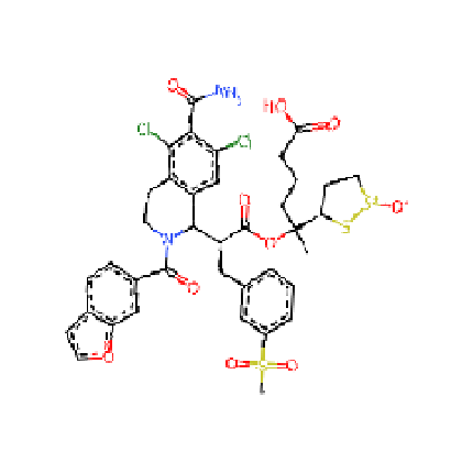 CC(CCCC(=O)O)(OC(=O)[C@@H](Cc1cccc(S(C)(=O)=O)c1)C1c2cc(Cl)c(C(N)=O)c(Cl)c2CCN1C(=O)c1ccc2ccoc2c1)[C@H]1CC[S+]([O-])S1